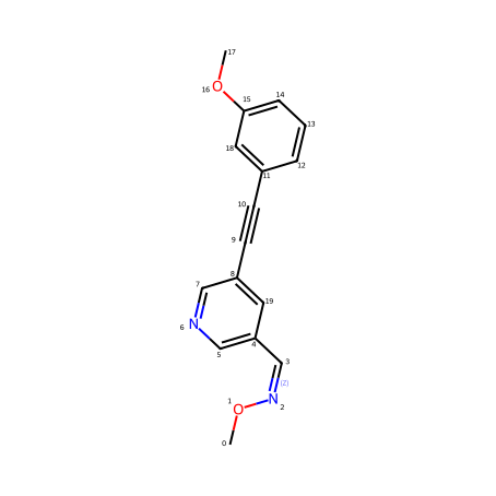 CO/N=C\c1cncc(C#Cc2cccc(OC)c2)c1